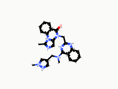 Cc1ncc2n(Cc3nc(N(C)Cc4cnn(C)c4)c4ccccc4n3)c(=O)c3ccccc3n12